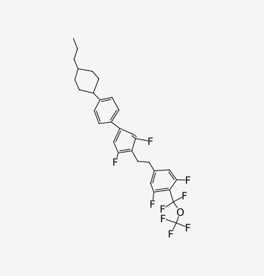 CCCC1CCC(c2ccc(-c3cc(F)c(CCc4cc(F)c(C(F)(F)OC(F)(F)F)c(F)c4)c(F)c3)cc2)CC1